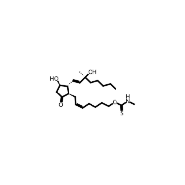 CCCCC[C@](C)(O)/C=C/[C@H]1[C@H](O)CC(=O)[C@@H]1C/C=C\CCCCOC(=S)NC